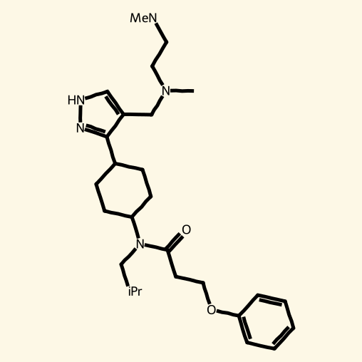 CNCCN(C)Cc1c[nH]nc1C1CCC(N(CC(C)C)C(=O)CCOc2ccccc2)CC1